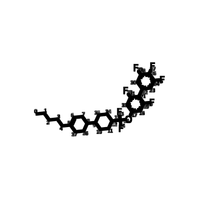 CCCCCC1=CCC(C2CCC(C(F)(F)Oc3cc(F)c(-c4cc(F)c(F)c(F)c4)c(F)c3)CC2)CC1